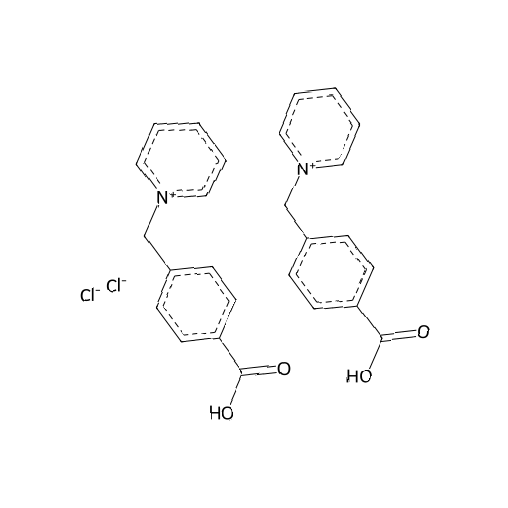 O=C(O)c1ccc(C[n+]2ccccc2)cc1.O=C(O)c1ccc(C[n+]2ccccc2)cc1.[Cl-].[Cl-]